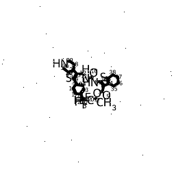 CC(C)OC(=O)c1c(NC(=O)NCc2c(-c3ccc(C(F)(F)F)cc3)sc3c2CCNC3)sc2c1CCCC2